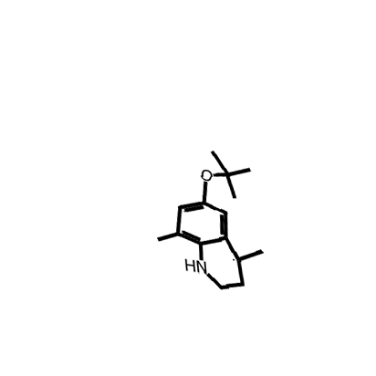 C[C]1CCNc2c(C)cc(OC(C)(C)C)cc21